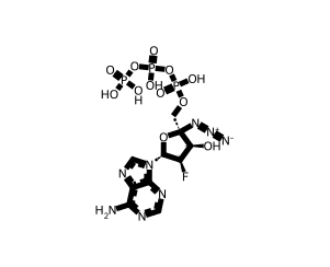 [N-]=[N+]=N[C@]1(COP(=O)(O)OP(=O)(O)OP(=O)(O)O)O[C@@H](n2cnc3c(N)ncnc32)[C@H](F)[C@@H]1O